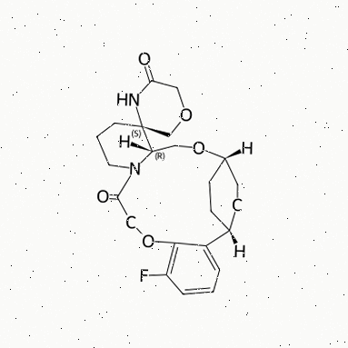 O=C1COC[C@@]2(CCCN3C(=O)COc4c(F)cccc4[C@H]4CC[C@H](CC4)OC[C@H]32)N1